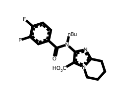 CCCCN(C(=O)c1ccc(F)c(F)c1)c1nc2n(c1C(=O)O)CCCC2